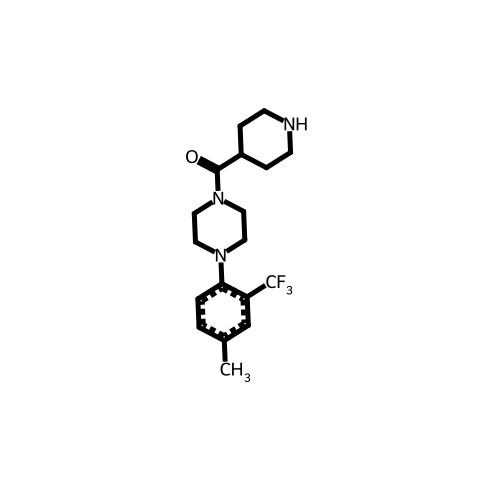 Cc1ccc(N2CCN(C(=O)C3CCNCC3)CC2)c(C(F)(F)F)c1